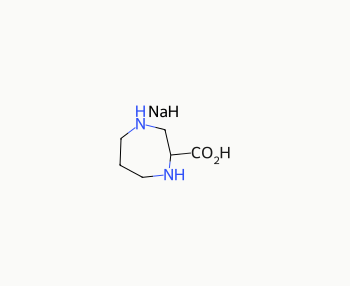 O=C(O)C1CNCCCN1.[NaH]